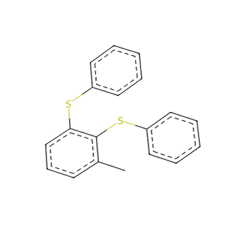 Cc1cccc(Sc2ccccc2)c1Sc1ccccc1